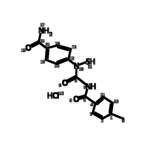 Cc1ccc(C(=O)NC(=O)N(S)c2ccc(C(N)=O)cc2)cc1.Cl